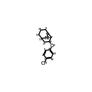 Clc1ccc(OC2CC3CCCC(C2)N3)cc1